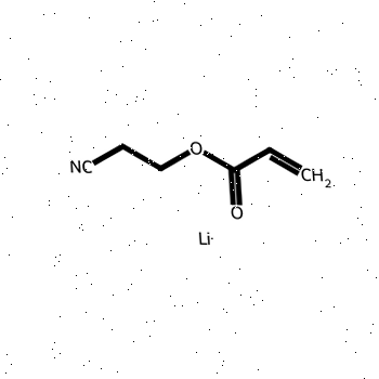 C=CC(=O)OCCC#N.[Li]